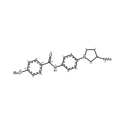 CNC1CCN(c2ccc(NC(=O)c3ccc(OCC(C)C)cc3)cc2)C1